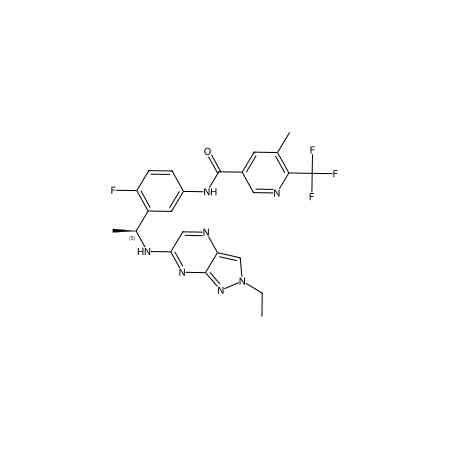 CCn1cc2ncc(N[C@@H](C)c3cc(NC(=O)c4cnc(C(F)(F)F)c(C)c4)ccc3F)nc2n1